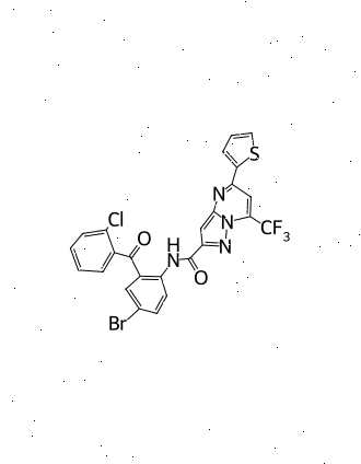 O=C(Nc1ccc(Br)cc1C(=O)c1ccccc1Cl)c1cc2nc(-c3cccs3)cc(C(F)(F)F)n2n1